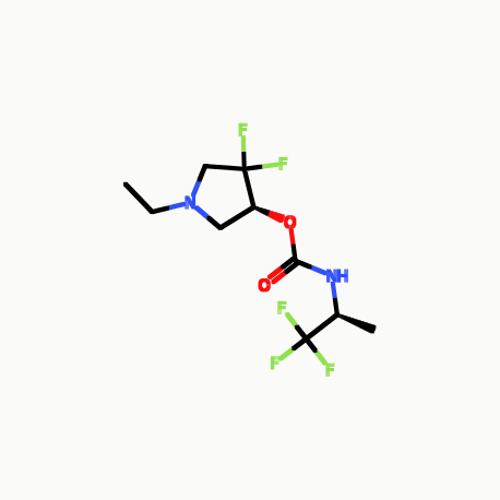 CCN1C[C@H](OC(=O)N[C@@H](C)C(F)(F)F)C(F)(F)C1